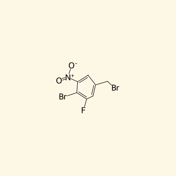 O=[N+]([O-])c1cc(CBr)cc(F)c1Br